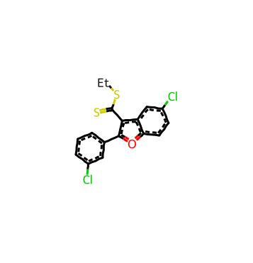 CCSC(=S)c1c(-c2cccc(Cl)c2)oc2ccc(Cl)cc12